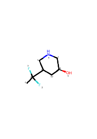 CC(F)(F)C1CNC[C@@H](O)C1